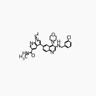 CNC(=O)c1cnc2c(c1)c(-c1ccc3ncc(NCc4cccc(Cl)c4)c(N4CCOCC4)c3c1)cn2SI